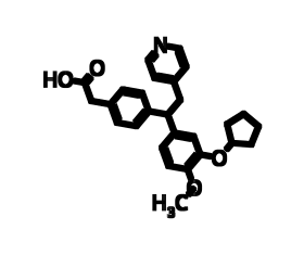 COc1ccc(C(Cc2ccncc2)c2ccc(CC(=O)O)cc2)cc1OC1CCCC1